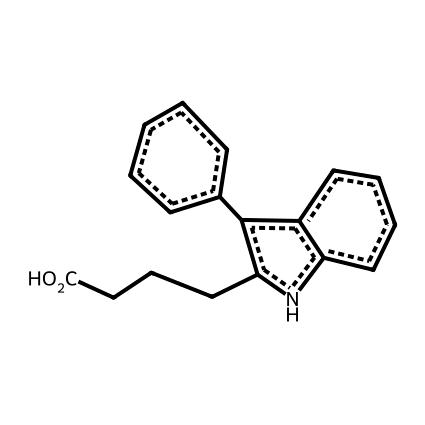 O=C(O)CCCc1[nH]c2ccccc2c1-c1ccccc1